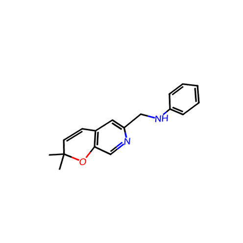 CC1(C)C=Cc2cc(CNc3ccccc3)ncc2O1